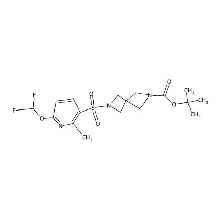 Cc1nc(OC(F)F)ccc1S(=O)(=O)N1CC2(CN(C(=O)OC(C)(C)C)C2)C1